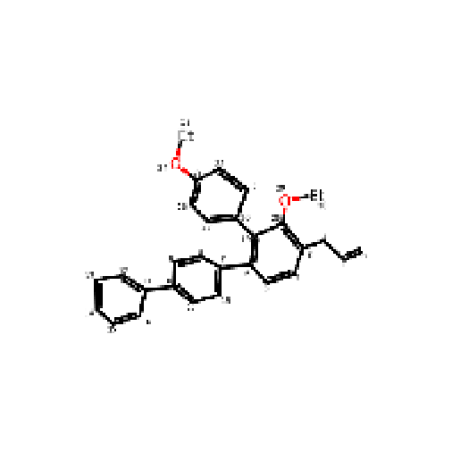 C=CCc1c[c]c(-c2ccc(-c3ccccc3)cc2)c(-c2ccc(OCC)cc2)c1OCC